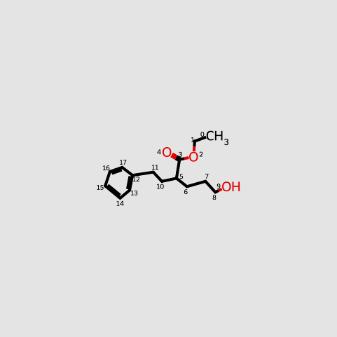 CCOC(=O)C(CCCO)CCc1ccccc1